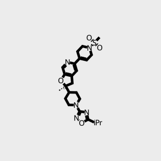 CC(C)c1nc(N2CCC([C@]3(C)Cc4cc(C5=CCN(S(C)(=O)=O)CC5)ncc4O3)CC2)no1